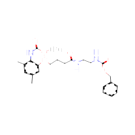 Cc1cc(C)c(NC(=O)OC(C)(C)C)c(OCCCC(=O)NCCNC(=O)OCc2ccccc2)c1